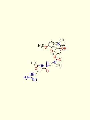 COc1ccc2c3c1O[C@H]1C(OC(=O)N(C)CCNC(=O)[C@H](CCCNC(=N)N)NC(C)=O)=CC[C@@]4(O)[C@@H](C2)N(C)CC[C@]314